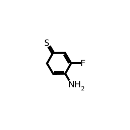 NC1=CCC(=S)C=C1F